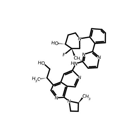 C[C@H](CO)c1cnc(N2CC[C@@H]2C)c2cnc(Nc3ccnc(-c4ccccc4N4CC[C@@H](O)[C@@](C)(F)C4)n3)cc12